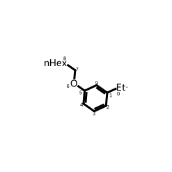 C[CH]c1cccc(OCCCCCCC)c1